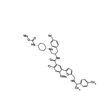 COc1cc(Cl)c(C(=O)NC(CN[C@H]2CC[C@@H](NC(=O)OC(C)(C)C)CC2)Cc2ccc(C#N)cc2)cc1-c1ccc(CNC(C)c2ccc(C)cc2)o1